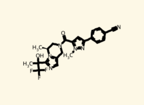 C[C@H]1CN(C(=O)c2cc(-c3ccc(C#N)cc3)nn2C)Cc2cnc(C(C)(O)C(F)(F)F)n21